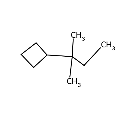 CCC(C)(C)C1CCC1